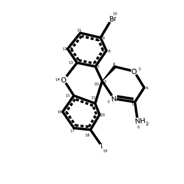 NC1=N[C@@]2(COC1)c1cc(Br)ccc1Oc1ccc(I)cc12